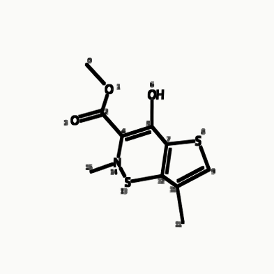 COC(=O)C1=C(O)c2scc(C)c2SN1C